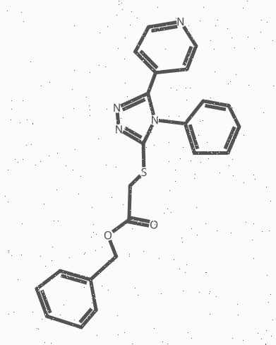 O=C(CSc1nnc(-c2ccncc2)n1-c1ccccc1)OCc1ccccc1